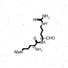 CNCCC[C@@H](N)C(=O)N[C@@H](C=O)CCCNC(=N)N